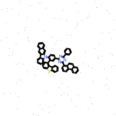 c1ccc(-c2nc(-c3ccc(-n4c5ccccc5c5cc6ccccc6cc54)c(-c4cccc5sc6ccccc6c45)c3)nc(-c3cccc4c3ccc3ccccc34)n2)cc1